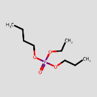 CCCCOP(=O)(OCC)OCCC